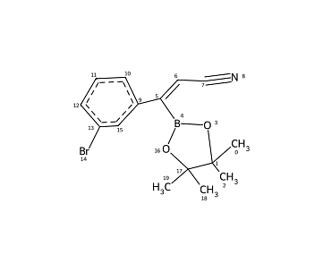 CC1(C)OB(C(=CC#N)c2cccc(Br)c2)OC1(C)C